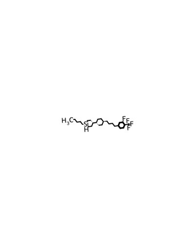 CCCCC[Si@H]1CC[C@H]([C@H]2CC[C@H](CCCCc3ccc(C(F)(F)F)c(F)c3)CC2)CC1